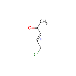 CC(=O)/C=C/CCl